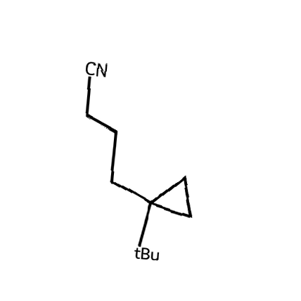 CC(C)(C)C1(CCCC#N)CC1